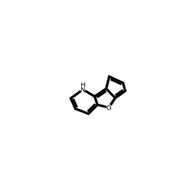 c1c[nH]c2c(c1)oc1cccc12